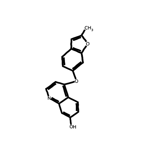 Cc1cc2ccc(Oc3ccnc4cc(O)ccc34)cc2o1